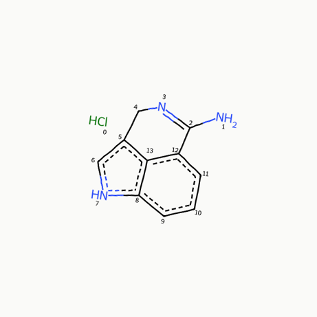 Cl.NC1=NCc2c[nH]c3cccc1c23